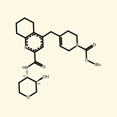 CC(C)(C)OC(=O)N1CC=C(Cc2cc(C(=O)N[C@H]3CCOC[C@@H]3O)nc3c2CCCC3)CC1